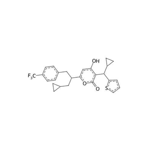 O=c1oc(C(Cc2ccc(C(F)(F)F)cc2)CC2CC2)cc(O)c1C(c1cccs1)C1CC1